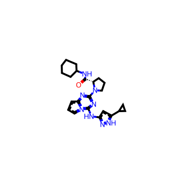 O=C(NC1CCCCC1)[C@@H]1CCCN1c1nc(Nc2cc(C3CC3)[nH]n2)n2cccc2n1